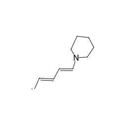 [CH2]C=CC=CN1CCCCC1